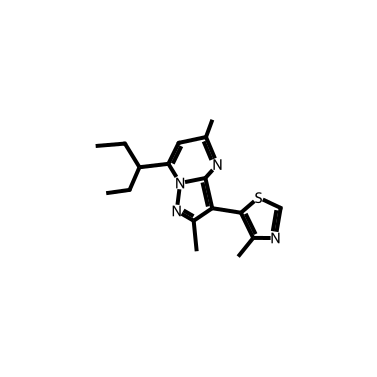 CCC(CC)c1cc(C)nc2c(-c3scnc3C)c(C)nn12